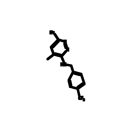 Cc1cc(C(C)C)nnc1NCc1ccc(C(F)(F)F)cc1